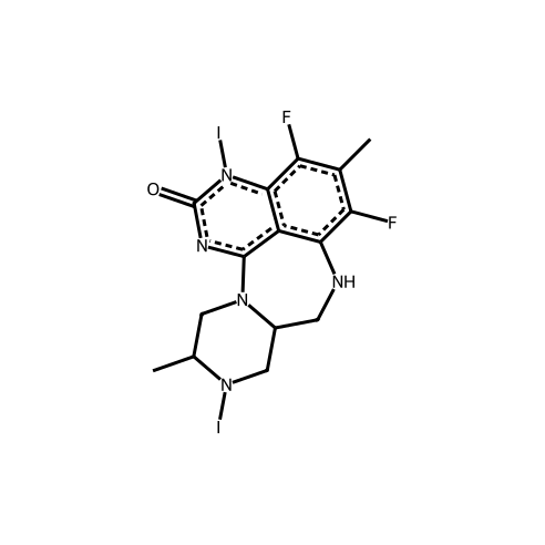 Cc1c(F)c2c3c(nc(=O)n(I)c3c1F)N1CC(C)N(I)CC1CN2